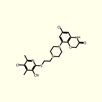 Cc1nc(SCCN2CCN(c3cc(Cl)cc4c3OCC(=O)N4)CC2)c(C#N)c(C)c1Cl